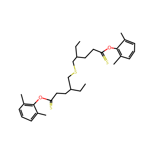 CCC(CCC(=S)Oc1c(C)cccc1C)CSCC(CC)CCC(=S)Oc1c(C)cccc1C